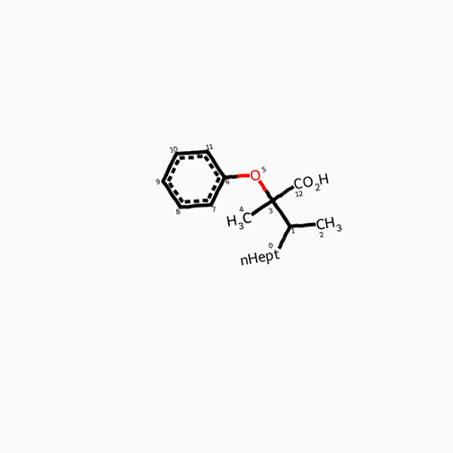 CCCCCCCC(C)C(C)(Oc1ccccc1)C(=O)O